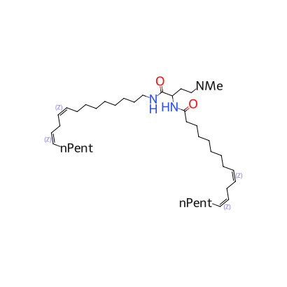 CCCCC/C=C\C/C=C\CCCCCCCCNC(=O)C(CCNC)NC(=O)CCCCCCC/C=C\C/C=C\CCCCC